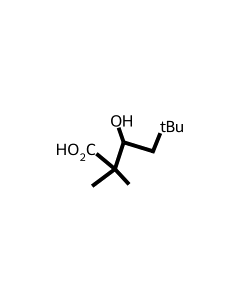 CC(C)(C)CC(O)C(C)(C)C(=O)O